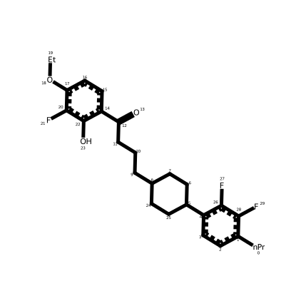 CCCc1ccc(C2CCC(CCCC(=O)c3ccc(OCC)c(F)c3O)CC2)c(F)c1F